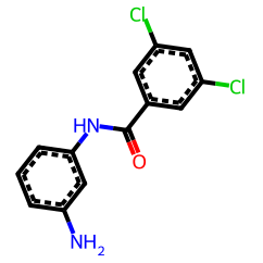 Nc1cccc(NC(=O)c2cc(Cl)cc(Cl)c2)c1